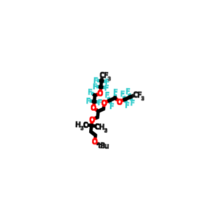 CC(C)(C)OCCC(C)(C)OCC(COC(F)(F)C(F)OC(F)(F)C(F)(F)C(F)(F)F)OC(F)(F)C(F)OC(F)(F)C(F)(F)C(F)(F)F